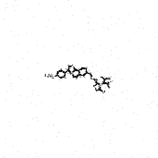 Cc1nsc(C)c1N1C(=O)CSC1=NN=Cc1ccc2c(ccn3c(-c4ccc(OC(F)(F)F)cc4)cnc23)c1